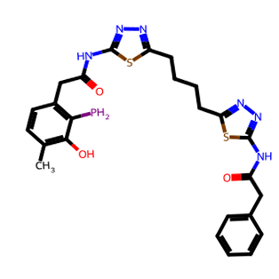 Cc1ccc(CC(=O)Nc2nnc(CCCCc3nnc(NC(=O)Cc4ccccc4)s3)s2)c(P)c1O